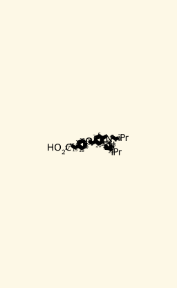 CC(C)CCN(Cc1ccc(COc2ccc(CCC(=O)O)cc2)cc1)c1nc(C(C)C)cs1